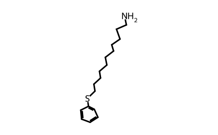 NCCCCCCCCCCCSc1ccccc1